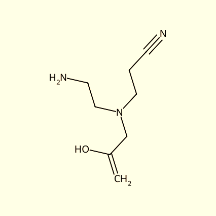 C=C(O)CN(CCN)CCC#N